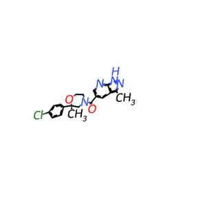 Cc1n[nH]c2ncc(C(=O)N3CCO[C@@](C)(c4ccc(Cl)cc4)C3)cc12